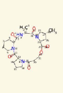 CC1NC(=O)C2CCCCN2C(=O)C2CCCN2C(=O)CCOC(=O)C2C[C@@H](C)CN2C1=O